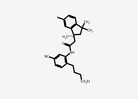 CCOC(=O)CCCc1ccc(C#N)cc1NC(=O)C[C@]1(C)CC(C)(C)c2ccc(I)cc21